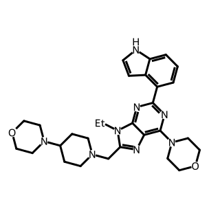 CCn1c(CN2CCC(N3CCOCC3)CC2)nc2c(N3CCOCC3)nc(-c3cccc4[nH]ccc34)nc21